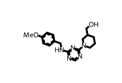 COc1ccc(CNc2ncnc(N3CCCC(CO)C3)n2)cc1